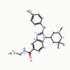 C[C@@H]1C[C@H](n2c(Nc3ccc(C#N)cc3)nc3cc(C(=O)NCC(=O)O)ccc32)CC(C)(C)C1